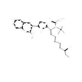 CCC(=O)CCCCCC(c1ncc(-c2cc3ccccc3nc2OC)o1)N(C(=O)O)C(C)(C)C